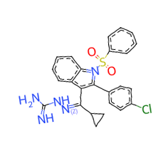 N=C(N)N/N=C(\c1c(-c2ccc(Cl)cc2)n(S(=O)(=O)c2ccccc2)c2ccccc12)C1CC1